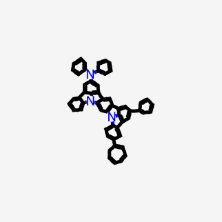 C1=CC=C(c2ccc3c(c2)c2cc(-c4ccccc4)cc4c5cc6c7cc(N(c8ccccc8)c8ccccc8)cc8c9ccccc9n(c6cc5n3c24)c87)CC=C1